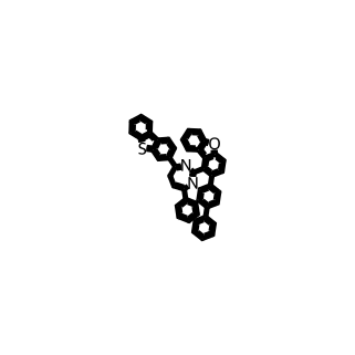 C1=C(c2ccccc2)N=C(c2c(-c3ccc(-c4ccccc4)cc3)ccc3oc4ccccc4c23)N=C(c2ccc3c(c2)sc2ccccc23)C1